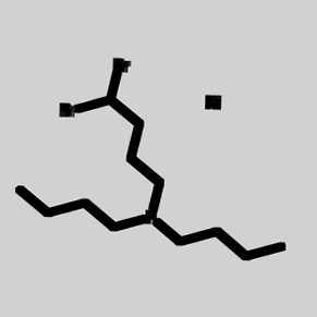 CCCCP(CCCC)CCCC(Br)Br.[Ni]